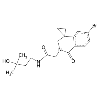 CC(C)(O)CCNC(=O)CN1CC2(CC2)c2cc(Br)ccc2C1=O